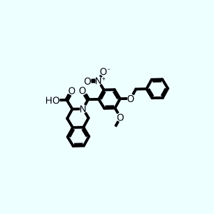 COc1cc(C(=O)N2Cc3ccccc3CC2C(=O)O)c([N+](=O)[O-])cc1OCc1ccccc1